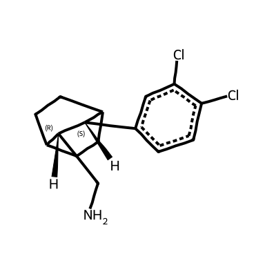 NC[C@@H]1C2CCC(CC2)[C@@H]1c1ccc(Cl)c(Cl)c1